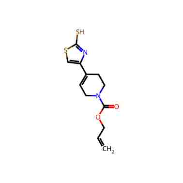 C=CCOC(=O)N1CC=C(c2csc(S)n2)CC1